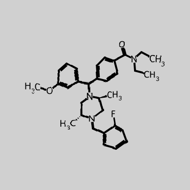 CCN(CC)C(=O)c1ccc(C(c2cccc(OC)c2)N2C[C@@H](C)N(Cc3ccccc3F)C[C@@H]2C)cc1